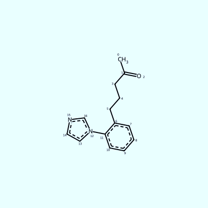 CC(=O)CCCc1ccccc1-n1ccnc1